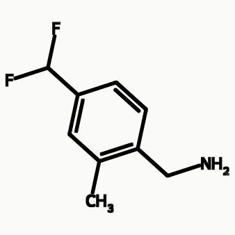 Cc1cc(C(F)F)ccc1CN